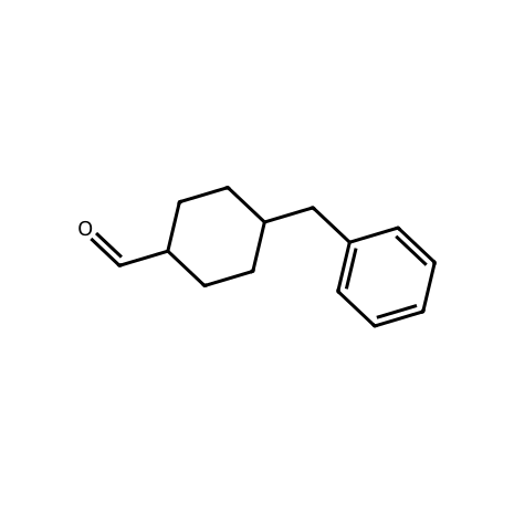 O=CC1CCC(Cc2ccccc2)CC1